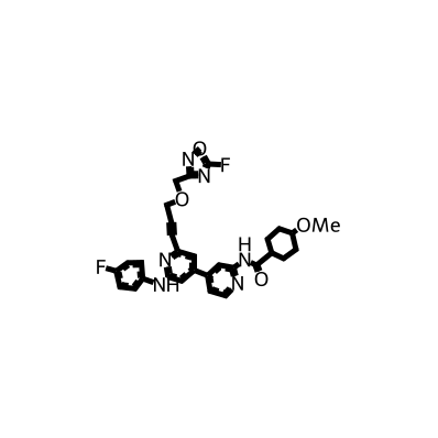 COC1CCC(C(=O)Nc2cc(-c3cc(C#CCOCc4noc(F)n4)nc(Nc4ccc(F)cc4)c3)ccn2)CC1